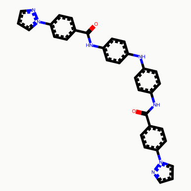 O=C(Nc1ccc(Nc2ccc(NC(=O)c3ccc(-n4cccn4)cc3)cc2)cc1)c1ccc(-n2cccn2)cc1